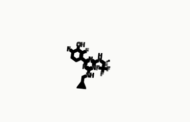 C[C@@H](Nc1nc(NCC2CC2)nc(C2=C(F)C(O)C(F)CC2)n1)C(F)(F)F